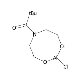 CC(C)(C)C(=O)N1CC[O][Al]([Cl])[O]CC1